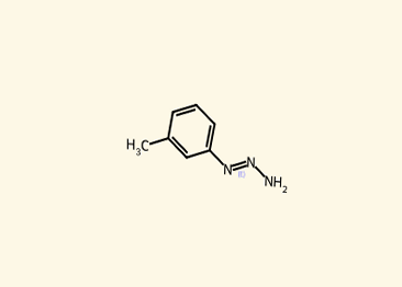 Cc1cccc(/N=N/N)c1